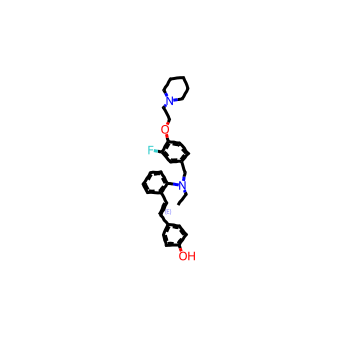 CCN(Cc1ccc(OCCN2CCCCC2)c(F)c1)c1ccccc1/C=C/c1ccc(O)cc1